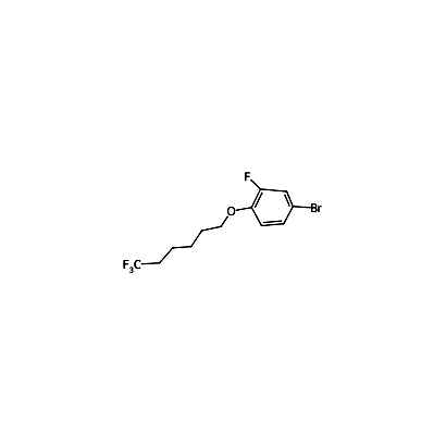 Fc1cc(Br)ccc1OCCCCCC(F)(F)F